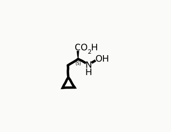 O=C(O)[C@H](CC1CC1)NO